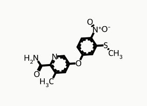 CSc1cc(Oc2cnc(C(N)=O)c(C)c2)ccc1[N+](=O)[O-]